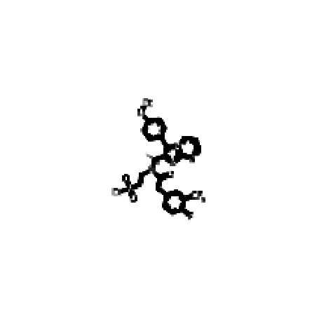 CCOc1ccc(-c2c([C@@H](C)N(CCS(=O)(=O)CC)C(=O)Cc3ccc(F)c(C(F)(F)F)c3)nc3ncccn23)cc1